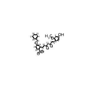 COc1cc(O)ccc1C=CC(=O)CC(=O)C=Cc1cc(OCc2ccccc2)ccc1[N+](=O)[O-]